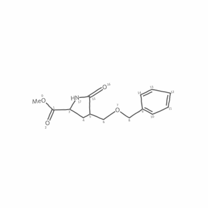 COC(=O)C1CC(COCc2ccccc2)C(=O)N1